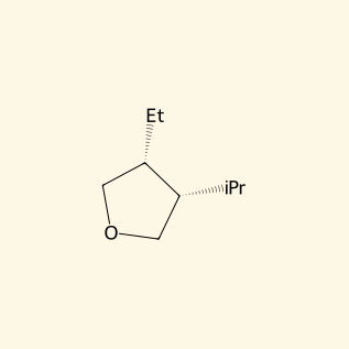 CC[C@H]1COC[C@H]1C(C)C